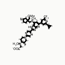 COCC1(CN(C)c2cc(-c3cc(C4CC4)nc(C(F)(F)F)c3)nc3nc(-c4cnc(N5CC[C@@H](N(C)CC(=O)[O-])[C@@H](F)C5)cn4)[nH]c23)CCCC1.[Na+]